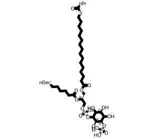 CCCCCCCCCCCCCCCC(=O)O[C@H](COC(=O)CCCCCCCCCCCCCCCSC(=O)CCC)COP(=O)(O)OC1C(O)[C@@H](O)C(O)[C@@H](OP(=O)(O)O)[C@H]1O